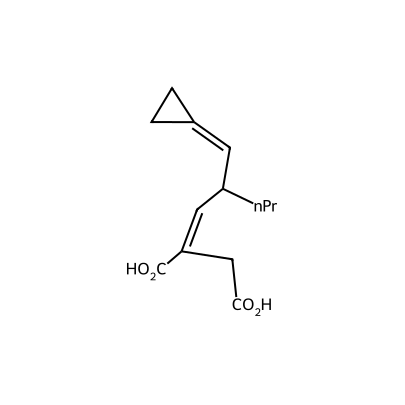 CCCC(C=C1CC1)C=C(CC(=O)O)C(=O)O